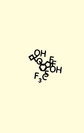 OCC1(COc2ccc(SC(F)(F)F)c3c2CC(F)(F)C3O)CCC1